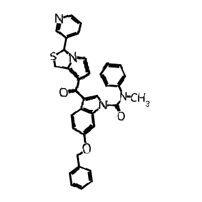 CN(C(=O)n1cc(C(=O)c2ccn3c2CSC3c2cccnc2)c2ccc(OCc3ccccc3)cc21)c1ccccc1